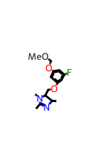 COCOc1cc(F)cc(OCC2C(C)N=C(C)N2C)c1